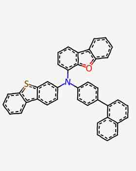 c1ccc2c(-c3ccc(N(c4ccc5c(c4)sc4ccccc45)c4cccc5c4oc4ccccc45)cc3)cccc2c1